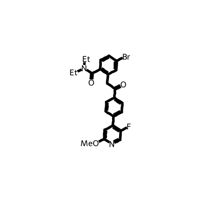 CCN(CC)C(=O)c1ccc(Br)cc1CC(=O)c1ccc(-c2cc(OC)ncc2F)cc1